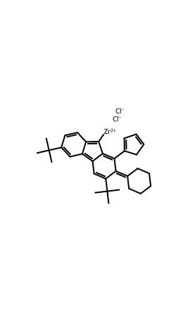 CC(C)(C)c1ccc2c(c1)=c1cc(C(C)(C)C)c(=C3CCCCC3)c(C3=CC=CC3)c1[C]=2[Zr+2].[Cl-].[Cl-]